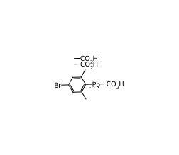 CC(=O)O.CC(=O)O.CC(=O)O.Cc1cc(Br)cc(C)[c]1[Pb]